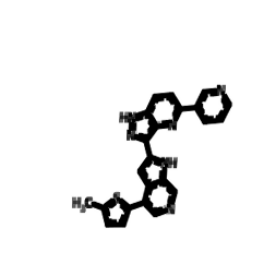 Cc1ccc(-c2cncc3[nH]c(-c4n[nH]c5ccc(-c6cccnc6)nc45)cc23)s1